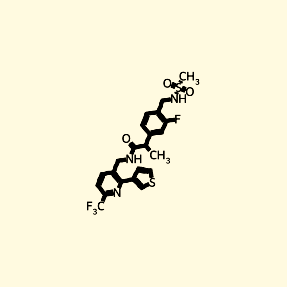 CC(C(=O)NCc1ccc(C(F)(F)F)nc1-c1ccsc1)c1ccc(CNS(C)(=O)=O)c(F)c1